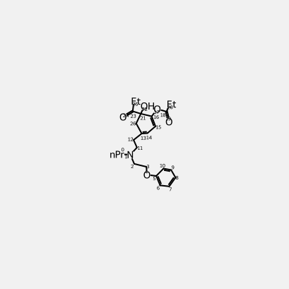 CCCN(CCOc1ccccc1)CCC1=CC=C(OC(=O)CC)C(O)(C(=O)CC)C1